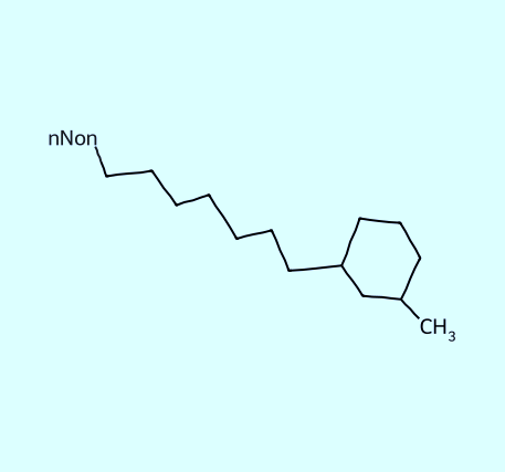 CCCCCCCCCCCCCCCCC1CCCC(C)C1